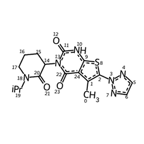 Cc1c(-n2nccn2)sc2[nH]c(=O)n(C3CCCN(C(C)C)C3=O)c(=O)c12